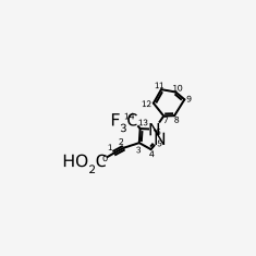 O=C(O)C#Cc1cnn(-c2ccccc2)c1C(F)(F)F